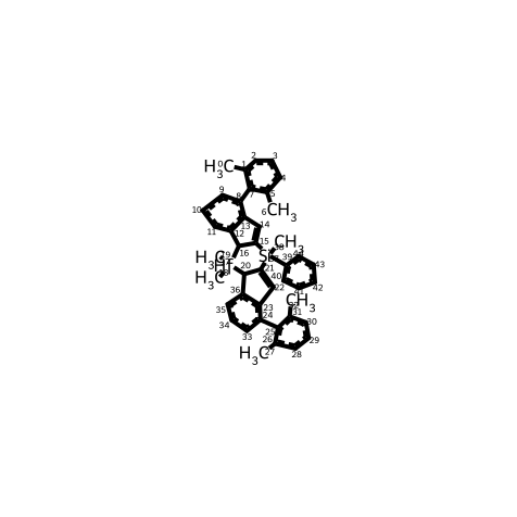 Cc1cccc(C)c1-c1cccc2c1C=C1[CH]2[Hf]([CH3])([CH3])[CH]2C(=Cc3c(-c4c(C)cccc4C)cccc32)[Si]1(C)c1ccccc1